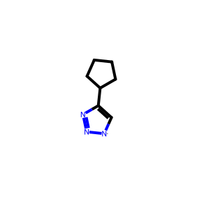 C1=C(C2CCCC2)N=N[N]1